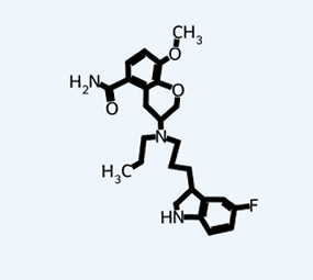 CCCN(CCCC1CNc2ccc(F)cc21)C1COc2c(OC)ccc(C(N)=O)c2C1